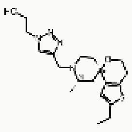 CCc1cc2c(s1)CCO[C@@]21CCN(Cc2cn(CCO)nn2)[C@@H](C)C1